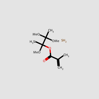 C=C(C)C(=O)OC([SiH3])(OC)C(C)(OC)OC.S